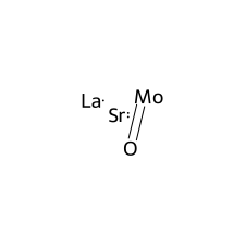 [La].[O]=[Mo].[Sr]